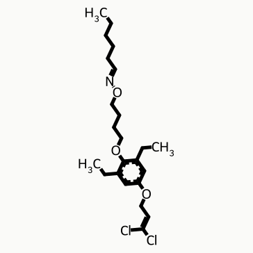 CCCCCC=NOCCCCOc1c(CC)cc(OCC=C(Cl)Cl)cc1CC